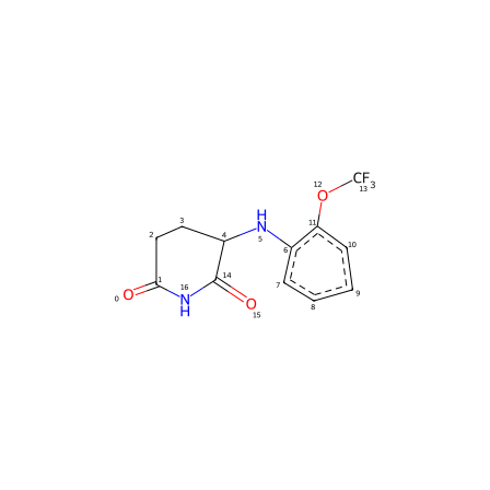 O=C1CCC(Nc2ccccc2OC(F)(F)F)C(=O)N1